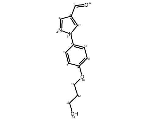 O=Cc1cnn(-c2ccc(OCCCO)cc2)c1